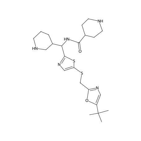 CC(C)(C)c1cnc(CSc2cnc(C(NC(=O)C3CCNCC3)C3CCCNC3)s2)o1